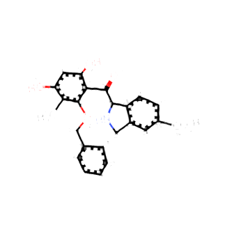 Cc1c(O)cc(O)c(C(=O)C2NCc3cc(C(=O)O)ccc32)c1OCc1ccccc1